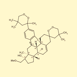 COC[C@]1(O)CC[C@H]2[C@@H]3CC=C4CC5(CC[C@@]46Cc4cc(C7(C)CC(C)(C)COO7)ccc4[C@@H](C[C@@]21C)[C@@H]36)CC(C)(C)COO5